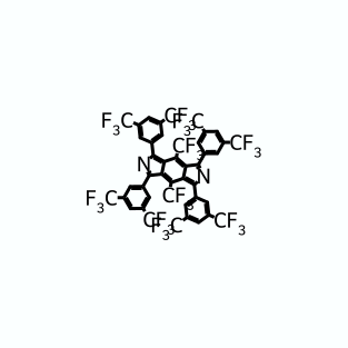 FC(F)(F)c1cc(C2=NC(c3cc(C(F)(F)F)cc(C(F)(F)F)c3)=c3c2c(C(F)(F)F)c2c(c3C(F)(F)F)C(c3cc(C(F)(F)F)cc(C(F)(F)F)c3)=NC=2c2cc(C(F)(F)F)cc(C(F)(F)F)c2)cc(C(F)(F)F)c1